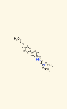 CCCCCc1ccc(-c2ccc(CNCCN(CC)CC)cc2)cc1